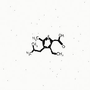 CCc1c(C(=O)O)sc(C)c1CC(C)C